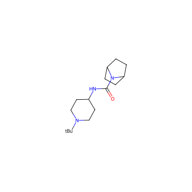 CC(C)(C)N1CCC(NC(=O)N2C3CCC2CC3)CC1